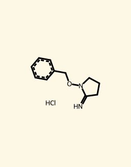 Cl.N=C1CCCN1OCc1ccccc1